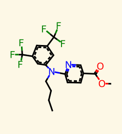 CCCCN(c1cc(C(F)(F)F)cc(C(F)(F)F)c1)c1ccc(C(=O)OC)cn1